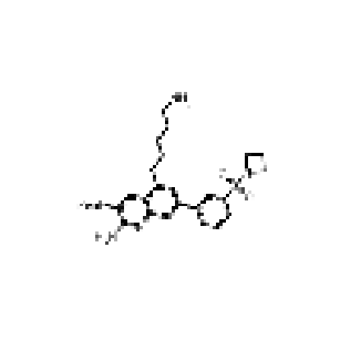 CCCCCc1cc2c(CCCCCN)cc(-c3cccc(S(=O)(=O)N4C[CH]C4)c3)cc2nc1N